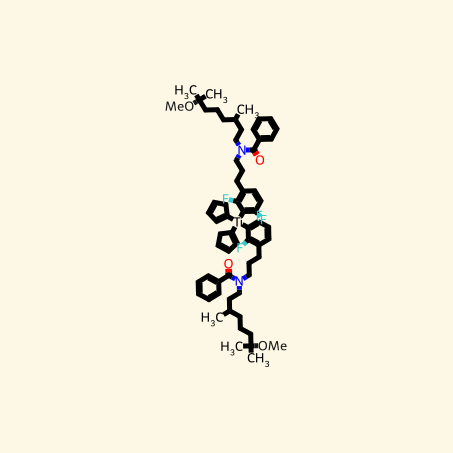 COC(C)(C)CCCC(C)CCN(CCCc1ccc(F)[c]([Ti]([C]2=CC=CC2)([C]2=CC=CC2)[c]2c(F)ccc(CCCN(CCC(C)CCCC(C)(C)OC)C(=O)c3ccccc3)c2F)c1F)C(=O)c1ccccc1